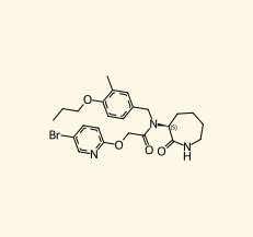 CCCOc1ccc(CN(C(=O)COc2ccc(Br)cn2)[C@H]2CCCCNC2=O)cc1C